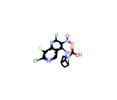 O=C(O)N1CC2CC1C2Nc1c([N+](=O)[O-])c(Cl)nc2c(F)c(Cl)ncc12